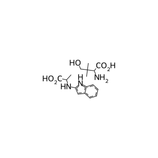 CC(C)(CO)C(N)C(=O)O.CC(Nc1cc2ccccc2[nH]1)C(=O)O